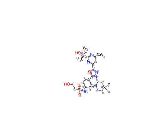 Cc1cc(-c2nnc(-c3ccc(NS(=O)(=O)CCO)cc3N3CCC4(CC3)CC4)o2)nc(C(C)(C)O)n1